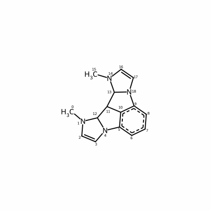 CN1C=CN2c3cccc4c3C(C12)C1N(C)C=CN41